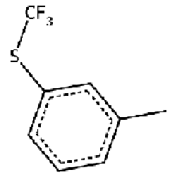 Cc1cccc(SC(F)(F)F)c1